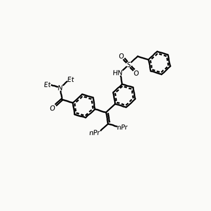 CCCC(CCC)=C(c1ccc(C(=O)N(CC)CC)cc1)c1cccc(NS(=O)(=O)Cc2ccccc2)c1